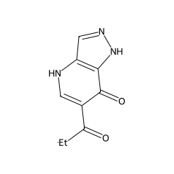 C[CH]C(=O)c1c[nH]c2cn[nH]c2c1=O